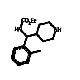 CCOC(=O)NC(c1ccccc1C)C1CCNCC1